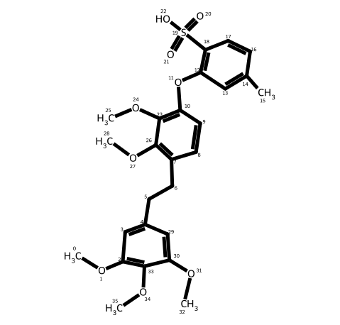 COc1cc(CCc2ccc(Oc3cc(C)ccc3S(=O)(=O)O)c(OC)c2OC)cc(OC)c1OC